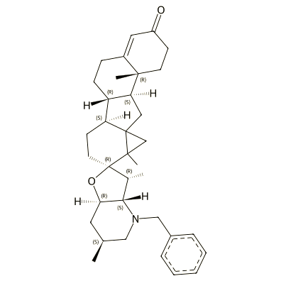 C[C@H]1C[C@H]2O[C@]3(CC[C@H]4[C@@H]5CCC6=CC(=O)CC[C@]6(C)[C@H]5CC45CC53C)[C@H](C)[C@@H]2N(Cc2ccccc2)C1